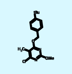 COc1nc(Cl)c(C)c(OCc2ccc(C(C)(C)C)cc2)n1